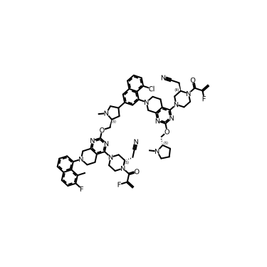 C=C(F)C(=O)N1CCN(c2nc(OC[C@@H]3CCCN3C)nc3c2CCN(c2cc(C4C[C@@H](COc5nc6c(c(N7CCN(C(=O)C(=C)F)[C@@H](CC#N)C7)n5)CCN(c5cccc7ccc(F)c(C)c57)C6)N(C)C4)cc4cccc(Cl)c24)C3)C[C@H]1CC#N